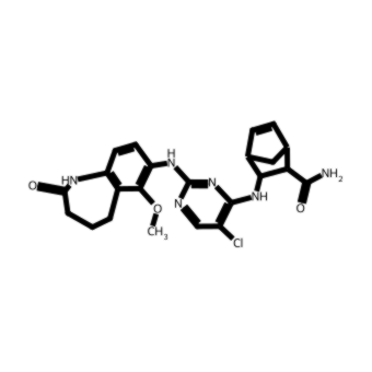 COc1c(Nc2ncc(Cl)c(NC3C4C=CC(C4)C3C(N)=O)n2)ccc2c1CCCC(=O)N2